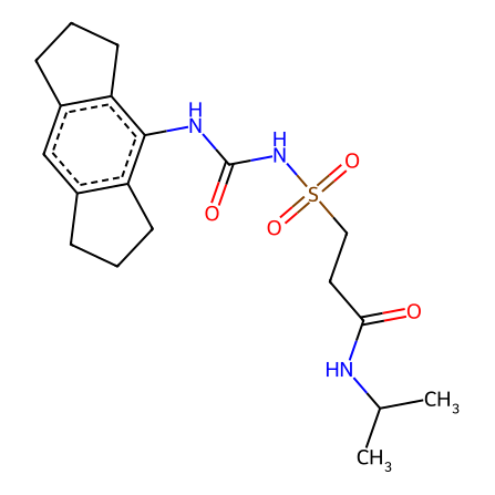 CC(C)NC(=O)CCS(=O)(=O)NC(=O)Nc1c2c(cc3c1CCC3)CCC2